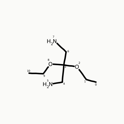 CCOC(CN)(CN)OCC